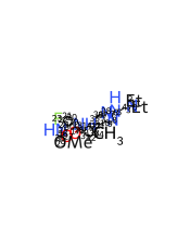 CCN(CC)CCCNc1ncc2cc(-c3cc(C(=O)Nc4ccc(F)c(NC(=O)COC)c4)ccc3C)ccc2n1